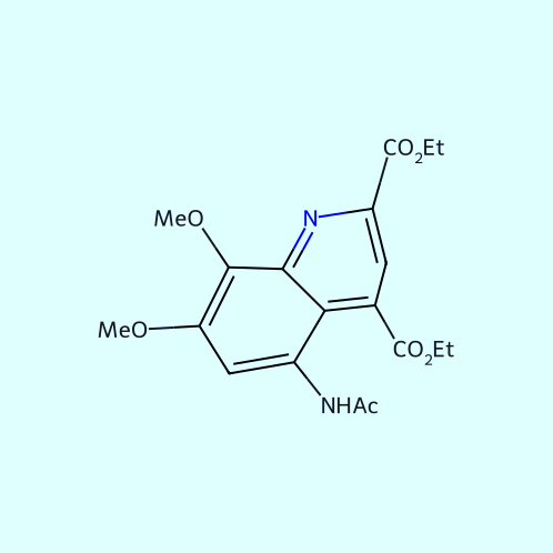 CCOC(=O)c1cc(C(=O)OCC)c2c(NC(C)=O)cc(OC)c(OC)c2n1